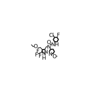 CCOCCc1c(CN(C(=O)Nc2ccc(F)c(Cl)c2)c2ccc(OC)nc2)n[nH]c1C(F)(F)F